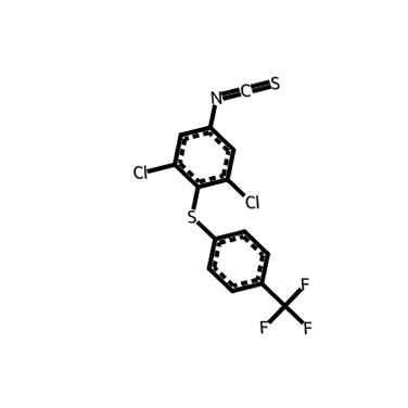 FC(F)(F)c1ccc(Sc2c(Cl)cc(N=C=S)cc2Cl)cc1